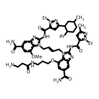 CCn1nc(C2CC(C)CCC2C(C)C)cc1C(=O)Nc1nc2cc(C(N)=O)cc(OC)c2n1C/C=C/Cn1c(NC(=O)c2cc(C)nn2CC)nc2cc(C(N)=O)cc(OCCCNC(=O)CCN)c21